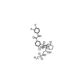 CS(=O)(=O)NCC(O)C(O)[C@]1(O)C2CC[C@H]1C[C@H](S(=O)(=O)c1cc(C(=O)Nc3ccc(F)c(F)c3)ccc1Cl)C2